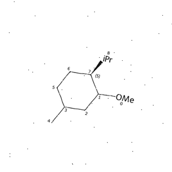 COC1CC(C)CC[C@H]1C(C)C